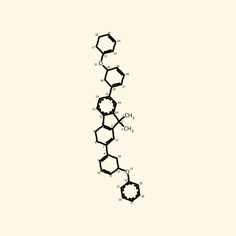 CC1(C)C2=C(CCC(C3=CC=CC(Oc4ccccc4)C3)=C2)c2ccc(C3=CC=CC(OC4=CC=CCC4)C3)cc21